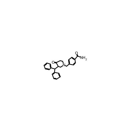 NC(=O)c1ccc(CN2CCC(=O)C(C(c3ccccc3)c3ccccc3)C2)cc1